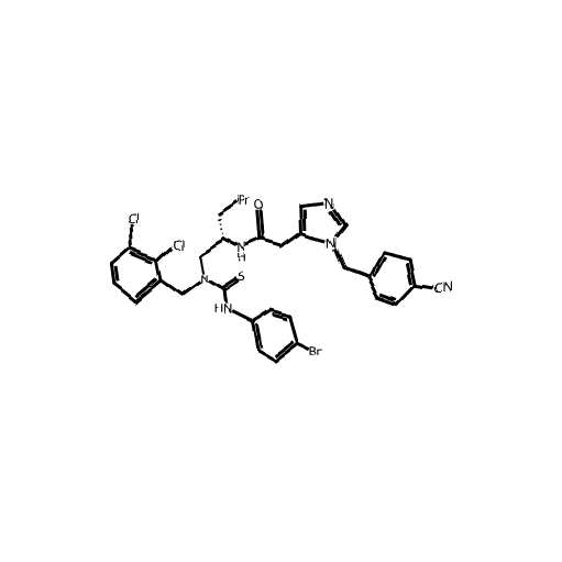 CC(C)C[C@@H](CN(Cc1cccc(Cl)c1Cl)C(=S)Nc1ccc(Br)cc1)NC(=O)Cc1cncn1Cc1ccc(C#N)cc1